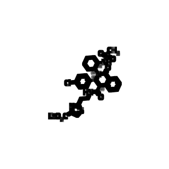 CCOC(=O)c1csc(CCNC(=O)[C@@H]2c3ccccc3C(=O)N([C@H]3CCCC[C@@H]3NS(C)(=O)=O)[C@H]2c2ccc(Cl)cc2)n1